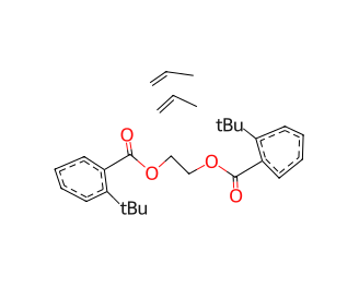 C=CC.C=CC.CC(C)(C)c1ccccc1C(=O)OCCOC(=O)c1ccccc1C(C)(C)C